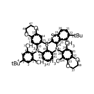 Cc1cc(C(C)(C)C)cc(C)c1N1c2cc3c(cc2B2c4sc5ccc(C(C)(C)C)cc5c4N(c4c(C)cc5c(c4C)OCCO5)c4cccc1c42)OCCO3